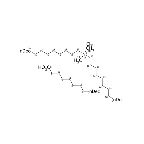 CCCCCCCCCCCCCCCCCC(=O)O.CCCCCCCCCCCCCCCCCC[N+](C)(C)CCCCCCCCCCCCCCCCCC.[Cl-]